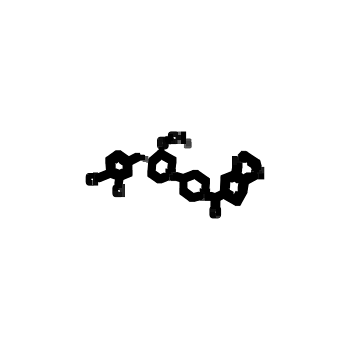 CO[C@@H]1CN(C2CCN(C(=O)c3ccc4nccnc4c3)CC2)CC[C@@H]1Cc1ccc(Cl)c(Cl)c1